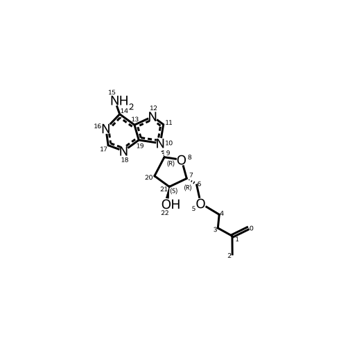 C=C(C)CCOC[C@H]1O[C@@H](n2cnc3c(N)ncnc32)C[C@@H]1O